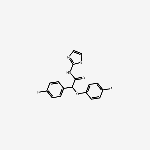 O=C(Nc1nccs1)C(Oc1ccc(F)cc1)c1ccc(F)cc1